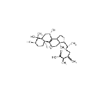 C=C(CC[C@@H](C)[C@H]1CCC2C3=C(CC[C@@]21C)[C@@]1(C)CC[C@@H](O)[C@](C)(O)C1C[C@@H]3O)[C@@H](C)C(=O)O